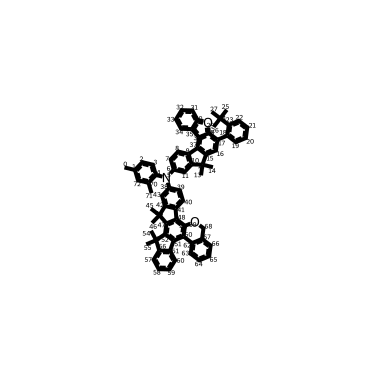 Cc1ccc(N(c2ccc3c(c2)C(C)(C)c2cc(-c4ccccc4C(C)(C)C)c4oc5ccccc5c4c2-3)c2ccc3c(c2)C(C)(C)c2c-3c3c(c4c2C(C)(C)c2ccccc2-4)-c2ccccc2CO3)c(C)c1